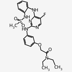 CCN(CC)C(=O)COc1cccc(Nc2ncc(F)c(Nc3ccccc3NS(C)(=O)=O)n2)c1